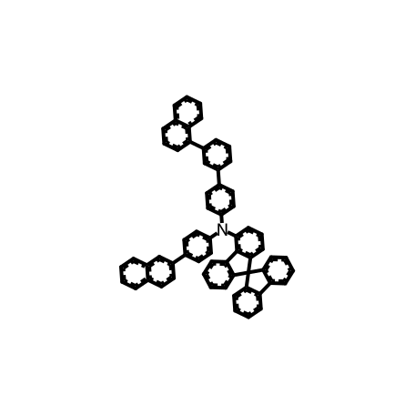 c1cc(-c2ccc(N(c3ccc(-c4ccc5ccccc5c4)cc3)c3cccc4c3-c3ccccc3C43c4ccccc4-c4ccccc43)cc2)cc(-c2cccc3ccccc23)c1